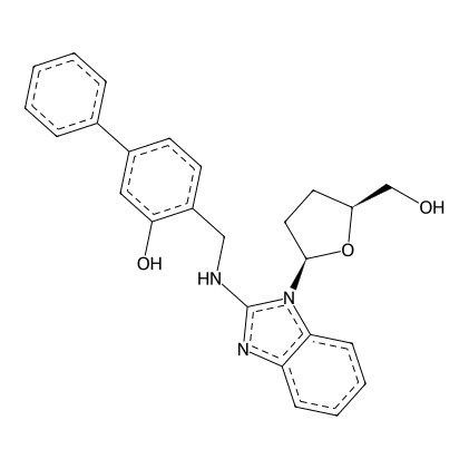 OC[C@@H]1CC[C@H](n2c(NCc3ccc(-c4ccccc4)cc3O)nc3ccccc32)O1